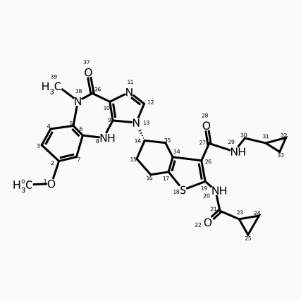 COc1ccc2c(c1)Nc1c(ncn1[C@H]1CCc3sc(NC(=O)C4CC4)c(C(=O)NCC4CC4)c3C1)C(=O)N2C